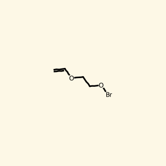 C=COCCOBr